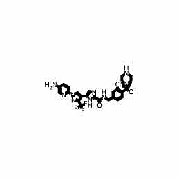 Nc1ccc(-n2cc(-c3cnc(C(=O)NCc4ccc(C(=O)N5C6CCC5CNC6)c(Cl)c4)[nH]3)c(C(F)(F)F)n2)nc1